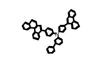 c1ccc(-c2cccc(N(c3ccc(-c4cc5ccccc5c5ccccc45)cc3)c3ccc(-c4cc5ccc6ccccc6c5c5ccccc45)cc3)c2)cc1